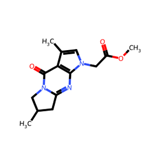 COC(=O)Cn1cc(C)c2c(=O)n3c(nc21)CC(C)C3